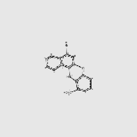 O=C(O)c1ccccc1Nc1c(Cl)cc(Br)c2ccccc12